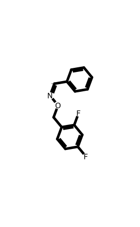 Fc1ccc(CO/N=[C]\c2ccccc2)c(F)c1